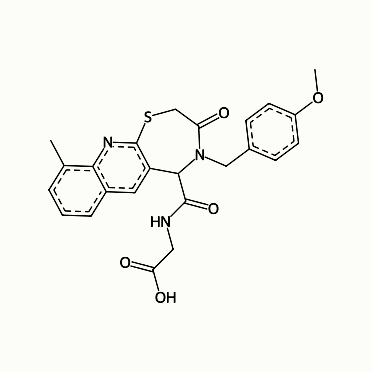 COc1ccc(CN2C(=O)CSc3nc4c(C)cccc4cc3C2C(=O)NCC(=O)O)cc1